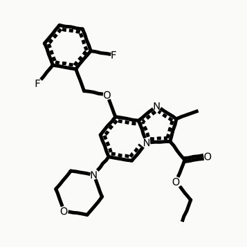 CCOC(=O)c1c(C)nc2c(OCc3c(F)cccc3F)cc(N3CCOCC3)cn12